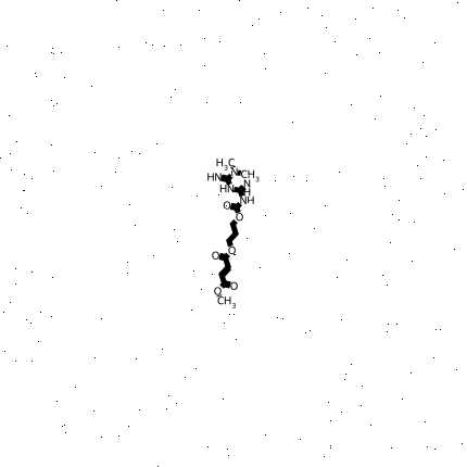 COC(=O)/C=C/C(=O)OCCCOC(=O)NC(=N)NC(=N)N(C)C